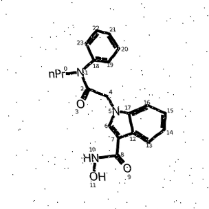 CCCN(C(=O)Cn1cc(C(=O)NO)c2ccccc21)c1ccccc1